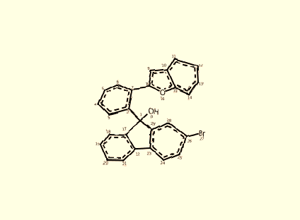 OC1(c2ccccc2-c2cc3ccccc3o2)c2ccccc2-c2ccc(Br)cc21